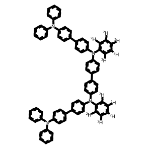 [2H]c1c([2H])c([2H])c(N(c2ccc(-c3ccc(N(c4ccccc4)c4ccccc4)cc3)cc2)c2ccc(-c3ccc(N(c4ccc(-c5ccc(N(c6ccccc6)c6ccccc6)cc5)cc4)c4c([2H])c([2H])c([2H])c([2H])c4[2H])cc3)cc2)c([2H])c1[2H]